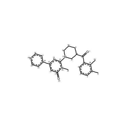 Cc1cccc(C(=O)C2CCCN(c3nc(-c4ccncc4)cc(=O)n3C)C2)c1C